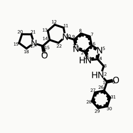 O=C(NCc1nc2ccc(N3CCCC(C(=O)N4CCCC4)C3)nc2[nH]1)c1ccccc1